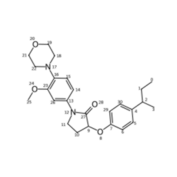 CCC(C)c1ccc(OC2CCN(c3ccc(N4CCOCC4)c(OC)c3)C2=O)cc1